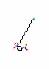 O=[N+]([O-])C1=CC=CC(OCCCCCCCCCCCCBr)([N+](=O)[O-])C1